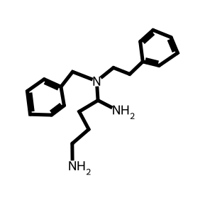 NCCCC(N)N(CCc1ccccc1)Cc1ccccc1